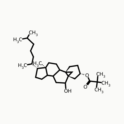 CC(C)CCCC(C)[C@H]1CCC2C3CC(O)[C@]45C[C@@H](OC(=O)C(C)(C)C)CC[C@]4(C5)C3CC[C@@]21C